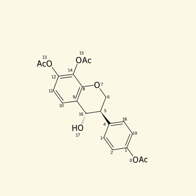 CC(=O)Oc1ccc([C@@H]2COc3c(ccc(OC(C)=O)c3OC(C)=O)[C@H]2O)cc1